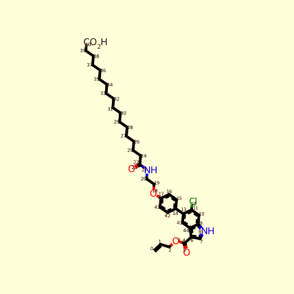 C=CCOC(=O)c1c[nH]c2cc(Cl)c(-c3ccc(OCCNC(=O)CCCCCCCCCCCCCCCCC(=O)O)cc3)cc12